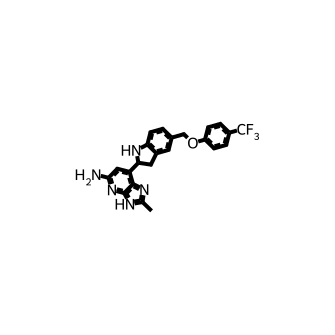 Cc1nc2c(C3Cc4cc(COc5ccc(C(F)(F)F)cc5)ccc4N3)cc(N)nc2[nH]1